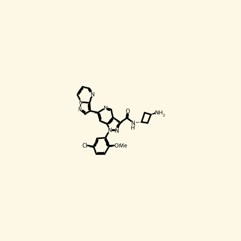 COc1ccc(Cl)cc1-n1nc(C(=O)N[C@H]2C[C@H](N)C2)c2cnc(-c3cnn4cccnc34)cc21